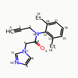 C#CCN(C(=O)Cn1ccnc1)c1c(CC)cccc1CC